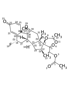 CC(=O)OCC(=O)[C@]1(OC(C)=O)[C@@H](C)C[C@H]2[C@@H]3C[C@H](F)C4=CC(=O)C=C[C@]4(C)C34OC4C[C@@]21C